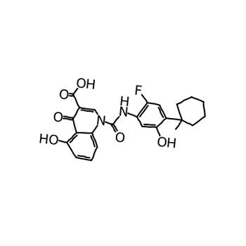 CC1(c2cc(F)c(NC(=O)n3cc(C(=O)O)c(=O)c4c(O)cccc43)cc2O)CCCCC1